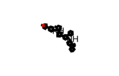 Cc1ccc(-c2ccc(NC3=C(c4cccc(-c5ccc(Nc6ccc7c(c6)C(C)(C)c6ccccc6-7)c(-c6ccccc6)c5)c4)C=CCC3C)cc2)cc1